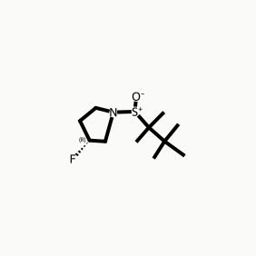 CC(C)(C)C(C)(C)[S+]([O-])N1CC[C@@H](F)C1